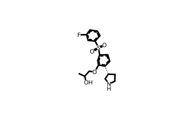 CC(O)COc1cc(S(=O)(=O)c2cccc(F)c2)ccc1[C@@H]1CCNC1